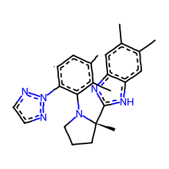 Cc1cc2nc([C@]3(C)CCCN3c3c(-n4nccn4)[c]cc(C)c3C)[nH]c2cc1C